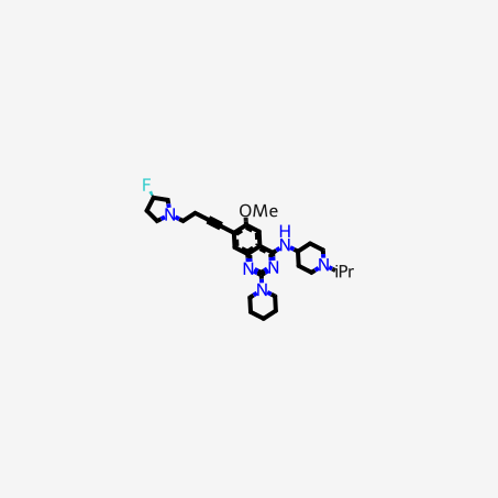 COc1cc2c(NC3CCN(C(C)C)CC3)nc(N3CCCCC3)nc2cc1C#CCCN1CC[C@@H](F)C1